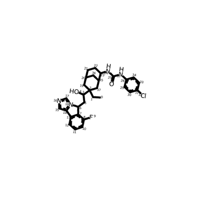 CCC1(C(O)CC2c3c(F)cccc3-c3cncn32)CC2CCC(NC(=O)Nc3ccc(Cl)cc3)C(C2)C1